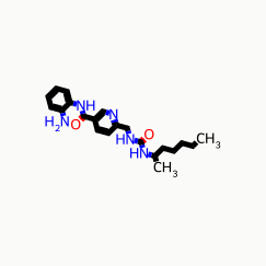 CCCCCC(C)NC(=O)NCc1ccc(C(=O)Nc2ccccc2N)cn1